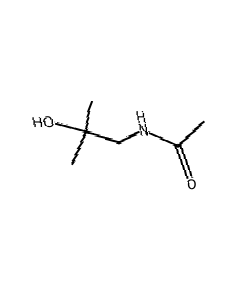 CC(=O)NCC(C)(C)O